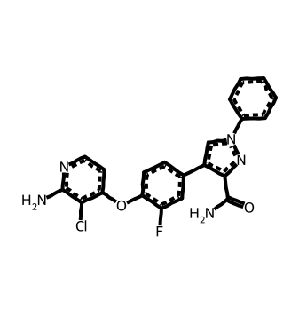 NC(=O)c1nn(-c2ccccc2)cc1-c1ccc(Oc2ccnc(N)c2Cl)c(F)c1